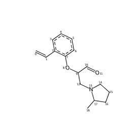 C=Cc1ccccc1OC(C=O)CN1CCCC1C